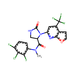 CN(C(=O)C1CNC(=O)N1c1cc(C(F)(F)F)c2ccoc2n1)c1ccc(F)c(Cl)c1F